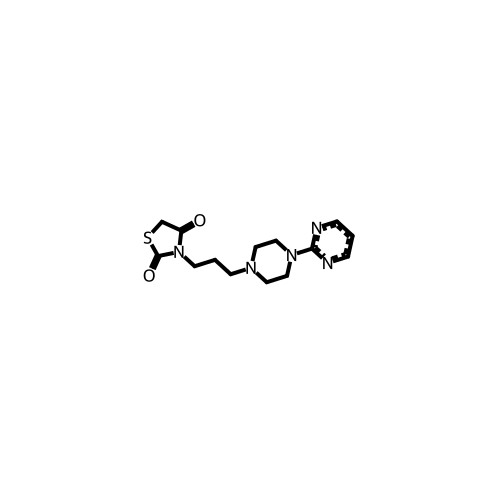 O=C1CSC(=O)N1CCCN1CCN(c2ncccn2)CC1